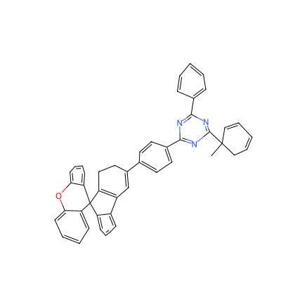 CC1(c2nc(-c3ccccc3)nc(-c3ccc(C4=CC5=C(CC4)C4(c6ccccc6Oc6ccccc64)c4ccccc45)cc3)n2)C=CC=CC1